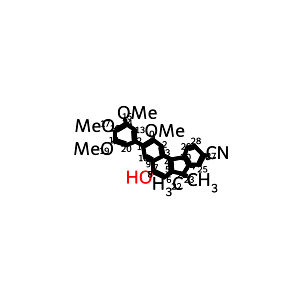 COc1cc2c3c(cc(O)c2cc1-c1cc(OC)c(OC)c(OC)c1)C(C)(C)c1cc(C#N)ccc1-3